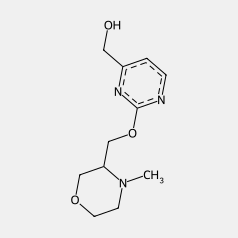 CN1CCOCC1COc1nccc(CO)n1